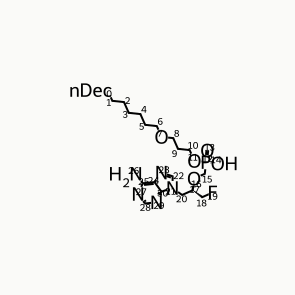 CCCCCCCCCCCCCCCCOCCCOP(=O)(O)CO[C@@H](CF)Cn1cnc2c(N)ncnc21